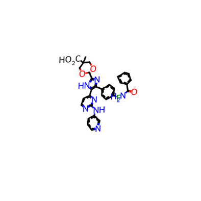 CC1(C(=O)O)COC(c2nc(-c3ccc(F)cc3)c(-c3ccnc(Nc4cccnc4)n3)[nH]2)OC1.NC(=O)c1ccccc1